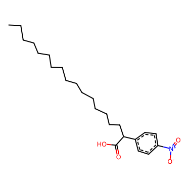 CCCCCCCCCCCCCCCCC(C(=O)O)c1ccc([N+](=O)[O-])cc1